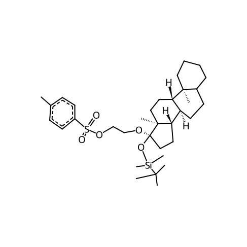 Cc1ccc(S(=O)(=O)OCCO[C@@]2(O[Si](C)(C)C(C)(C)C)CC[C@H]3[C@@H]4CCC5CCCC[C@]5(C)[C@H]4CC[C@@]32C)cc1